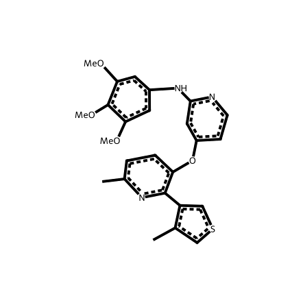 COc1cc(Nc2cc(Oc3ccc(C)nc3-c3cscc3C)ccn2)cc(OC)c1OC